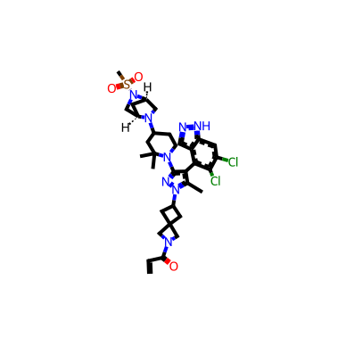 C=CC(=O)N1CC2(CC(n3nc(N4CCC(N5C[C@H]6C[C@@H]5CN6S(C)(=O)=O)CC4(C)C)c(-c4c(Cl)c(Cl)cc5[nH]ncc45)c3C)C2)C1